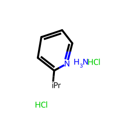 CC(C)c1ccccn1.Cl.Cl.N